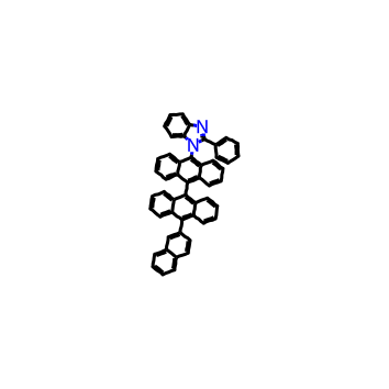 c1ccc(-c2nc3ccccc3n2-c2c3ccccc3c(-c3c4ccccc4c(-c4ccc5ccccc5c4)c4ccccc34)c3ccccc23)cc1